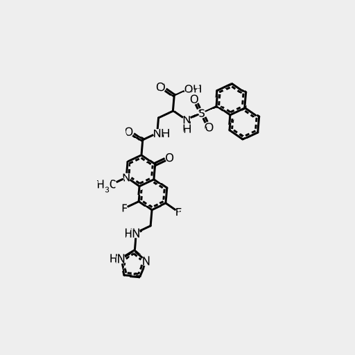 Cn1cc(C(=O)NCC(NS(=O)(=O)c2cccc3ccccc23)C(=O)O)c(=O)c2cc(F)c(CNc3ncc[nH]3)c(F)c21